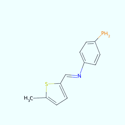 Cc1ccc(/C=N/c2ccc(P)cc2)s1